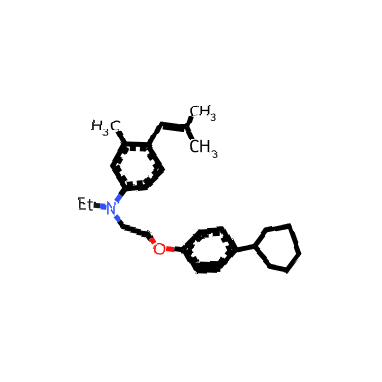 CCN(CCOc1c#cc(C2CCCCC2)cc1)c1ccc(C=C(C)C)c(C)c1